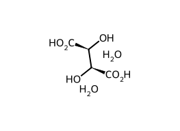 O.O.O=C(O)[C@@H](O)[C@H](O)C(=O)O